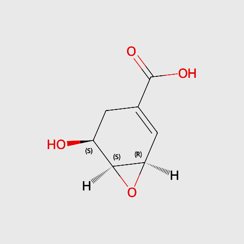 O=C(O)C1=C[C@H]2O[C@H]2[C@@H](O)C1